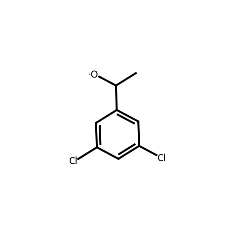 CC([O])c1cc(Cl)cc(Cl)c1